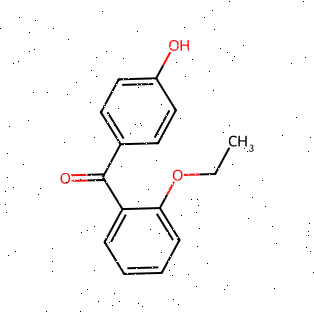 CCOc1ccccc1C(=O)c1ccc(O)cc1